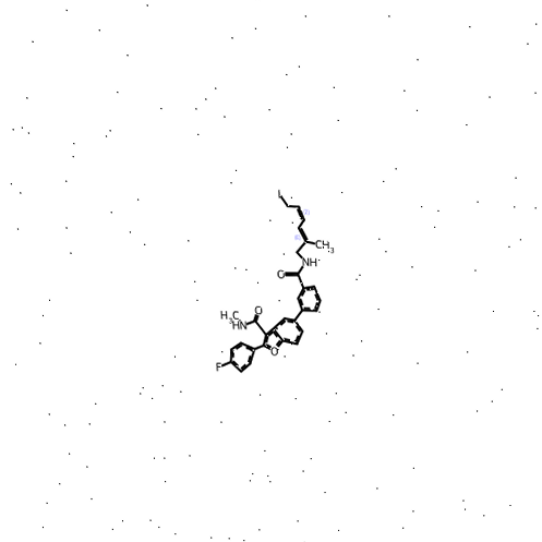 CNC(=O)c1c(-c2ccc(F)cc2)oc2ccc(-c3cccc(C(=O)NC/C(C)=C/C=C\CI)c3)cc12